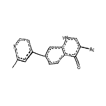 CC(=O)c1c[nH]c2cc(-c3ccnc(C)c3)ccc2c1=O